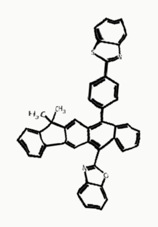 CC1(C)c2ccccc2-c2cc3c(-c4nc5ccccc5o4)c4ccccc4c(-c4ccc(-c5nc6ccccc6s5)cc4)c3cc21